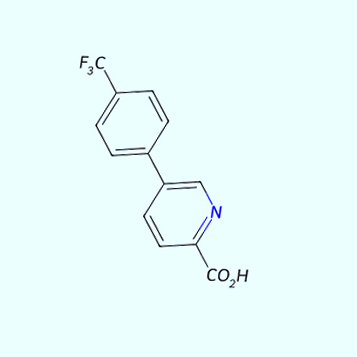 O=C(O)c1ccc(-c2ccc(C(F)(F)F)cc2)cn1